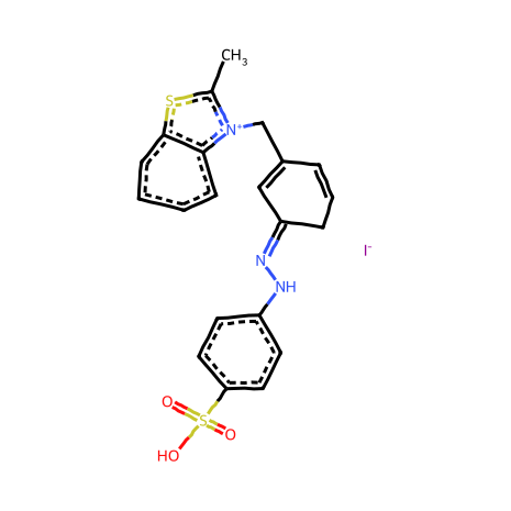 Cc1sc2ccccc2[n+]1CC1=CC(=NNc2ccc(S(=O)(=O)O)cc2)CC=C1.[I-]